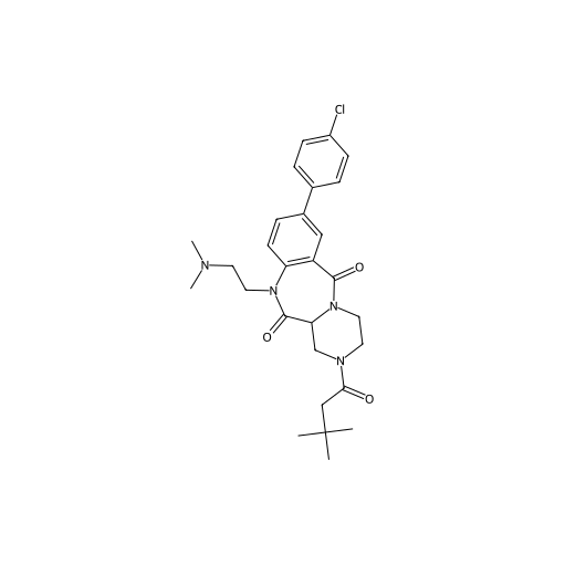 CN(C)CCN1C(=O)C2CN(C(=O)CC(C)(C)C)CCN2C(=O)c2cc(-c3ccc(Cl)cc3)ccc21